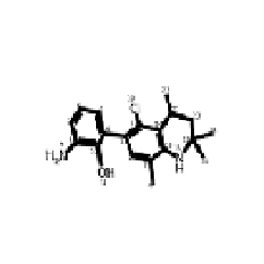 Cc1cc(-c2cccc(N)c2O)c(Cl)c2c1NC(C)(C)CC2C